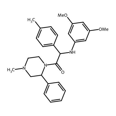 COc1cc(NC(C(=O)N2CCN(C)CC2c2ccccc2)c2ccc(C)cc2)cc(OC)c1